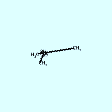 CCCCCCCCCCCCCCCCCCCCCC(=O)OC(OCCCCCC)C(O)CCC